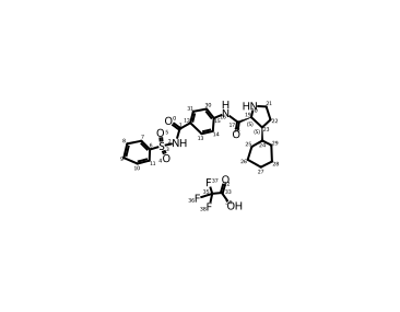 O=C(NS(=O)(=O)c1ccccc1)c1ccc(NC(=O)[C@H]2NCC[C@H]2C2CCCCC2)cc1.O=C(O)C(F)(F)F